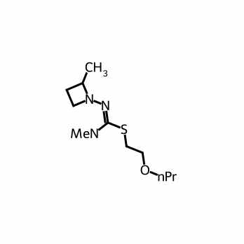 CCCOCCS/C(=N/N1CCC1C)NC